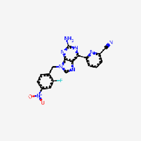 N#Cc1cccc(-c2nc(N)nc3c2ncn3Cc2ccc([N+](=O)[O-])cc2F)n1